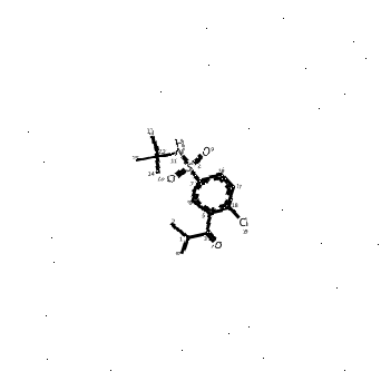 CC(C)C(=O)c1cc(S(=O)(=O)NC(C)(C)C)ccc1Cl